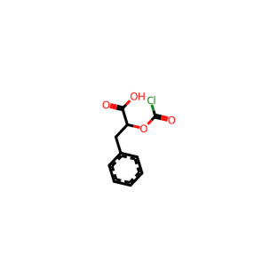 O=C(Cl)OC(Cc1ccccc1)C(=O)O